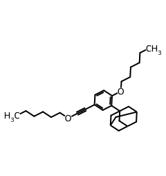 CCCCCCOC#Cc1ccc(OCCCCCC)c(C23CC4CC(CC(C4)C2)C3)c1